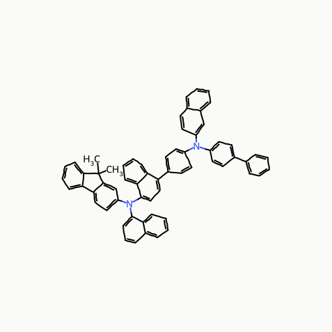 CC1(C)c2ccccc2-c2ccc(N(c3cccc4ccccc34)c3ccc(-c4ccc(N(c5ccc(-c6ccccc6)cc5)c5ccc6ccccc6c5)cc4)c4ccccc34)cc21